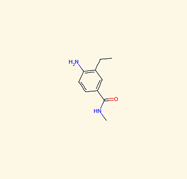 CCc1cc(C(=O)NC)ccc1N